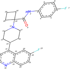 O=C(Nc1ccc(F)cc1)C1(N2CCC(c3ccnc4ccc(F)cc34)CC2)CCC1